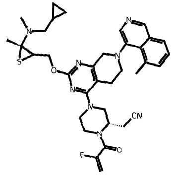 C=C(F)C(=O)N1CCN(c2nc(OCC3S[C@]3(C)N(C)CC3CC3)nc3c2CCN(c2cncc4cccc(C)c24)C3)C[C@@H]1CC#N